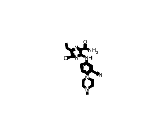 CCc1nc(C(N)=O)c(Nc2ccc(N3CCN(C)CC3)c(C#N)c2)nc1Cl